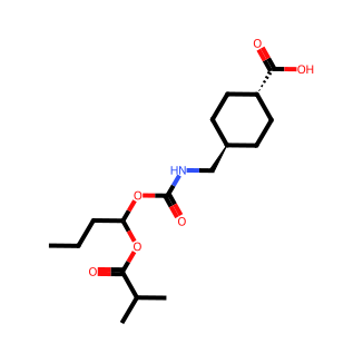 CCCC(OC(=O)NC[C@H]1CC[C@H](C(=O)O)CC1)OC(=O)C(C)C